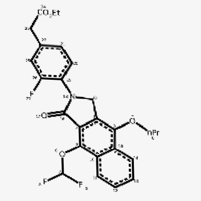 CCCOc1c2c(c(OC(F)F)c3ccccc13)C(=O)N(c1ccc(CC(=O)OCC)cc1F)C2